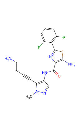 Cn1ncc(NC(=O)c2nc(-c3c(F)cccc3F)sc2N)c1C#CCCN